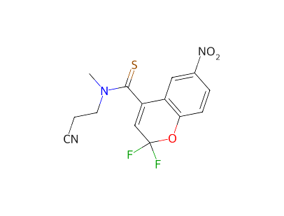 CN(CCC#N)C(=S)C1=CC(F)(F)Oc2ccc([N+](=O)[O-])cc21